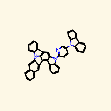 c1ccc2cc3c(cc2c1)c1c2c4ccccc4n(-c4ccc(-n5c6ccccc6c6ccccc65)cn4)c2cc2c4ccccc4n3c21